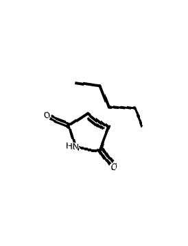 CCCCC.O=C1C=CC(=O)N1